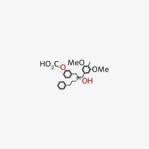 COc1cc(C(O)[C@H](CCCc2ccccc2)Cc2cccc(OCC(=O)O)c2)cc(OC)c1C